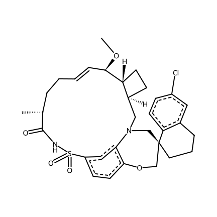 CO[C@@H]1/C=C/CC[C@@H](C)C(=O)NS(=O)(=O)c2ccc3c(c2)N(C[C@@H]2CC[C@H]21)C[C@@]1(CCCc2cc(Cl)ccc21)CO3